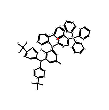 Cc1cc(N(c2ccc(C(C)(C)C)cc2)c2ccc(C(C)(C)C)cc2)c(Cl)c(N(c2ccc(S(c3ccccc3)(c3ccccc3)c3ccccc3)cc2)c2ccccc2-c2ccccc2)c1